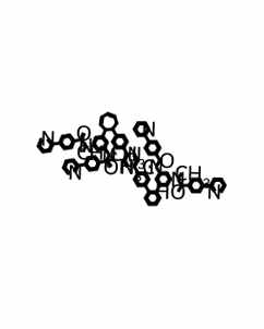 CN(C(=O)c1ccc(-c2ccccn2)cc1)c1cc(C2C=CC=CCC2c2ccc(-c3cnc(-c4ccc(-c5ccccc5-c5cc(N(C)C(=O)c6ccc(-c7ccccn7)cc6)cc(N(C)C(O)c6ccc(-c7ccccn7)cc6)c5)cc4)cn3)cc2)cc(N(C)C(=O)c2ccc(-c3ccccn3)cc2)c1